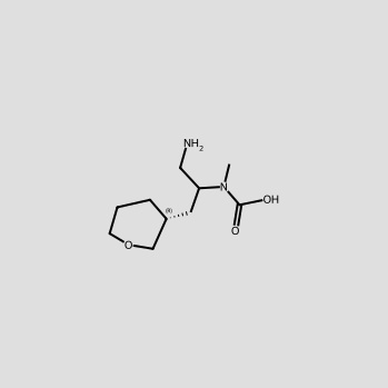 CN(C(=O)O)C(CN)C[C@H]1CCCOC1